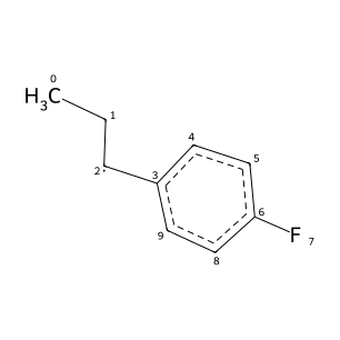 CC[CH]c1ccc(F)cc1